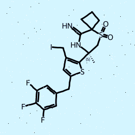 C[C@@]1(c2sc(Cc3cc(F)c(F)c(F)c3)cc2CI)CS(=O)(=O)C2(CCC2)C(=N)N1